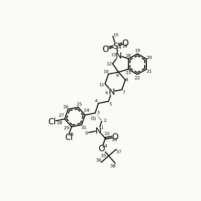 CN(C[C@@H](CCN1CCC2(CC1)CN(S(C)(=O)=O)c1ccccc12)c1ccc(Cl)c(Cl)c1)C(=O)OC(C)(C)C